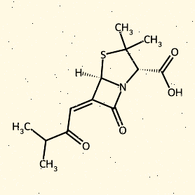 CC(C)C(=O)/C=C1\C(=O)N2[C@@H]1SC(C)(C)[C@@H]2C(=O)O